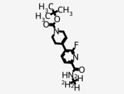 [2H]C([2H])([2H])NC(=O)c1ccc(C2=CCN(C(=O)OC(C)(C)C)CC2)c(F)n1